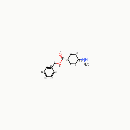 CCNC1CCC(C(=O)OCc2ccccc2)CC1